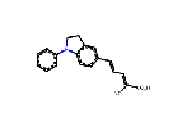 N#C/C(=C\C=C\c1ccc2c(c1)CCN2c1ccccc1)C(=O)O